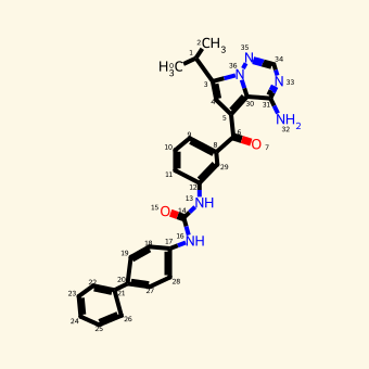 CC(C)c1cc(C(=O)c2cccc(NC(=O)Nc3ccc(-c4ccccc4)cc3)c2)c2c(N)ncnn12